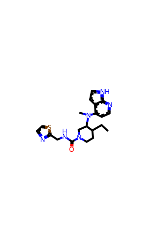 CCC1CCN(C(=O)NCc2nccs2)CC1N(C)c1ccnc2[nH]ccc12